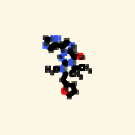 CC(C)n1c(N(C)CCC2CCCO2)nn2c(-c3cnc[nH]3)cnc2c1=O